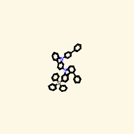 c1ccc(-c2ccc(-n3c4ccccc4c4ccc(-n5c6cc([Si](c7ccccc7)(c7ccccc7)c7ccccc7)ccc6c6c(-c7ccccc7)cccc65)cc43)cc2)cc1